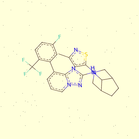 Cc1cc(N2CC3CCC(C2)C3Nc2nc3c(-c4cc(F)ccc4C(F)(F)F)cccn3n2)sn1